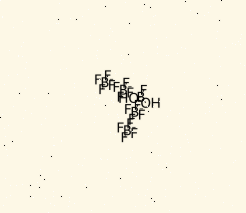 F[B-](F)(F)F.F[B-](F)(F)F.F[B-](F)(F)F.F[B-](F)(F)F.OB(O)F